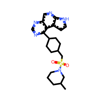 CC1CCCN(S(=O)(=O)CC2CCC(c3ncnc4cnc5[nH]ccc5c34)CC2)C1